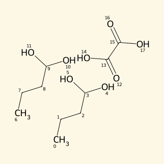 CCCC(O)O.CCCC(O)O.O=C(O)C(=O)O